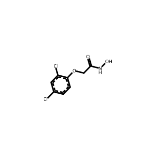 O=C(COc1ccc(Cl)cc1Cl)NO